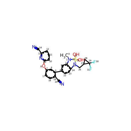 CN1c2cc(-c3cc(Oc4cccc(C#N)n4)ccc3C#N)ccc2N(CC2CC2(F)F)S1(O)O